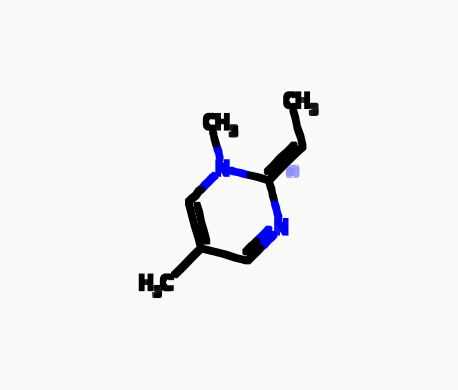 C/C=C1/N=CC(C)=CN1C